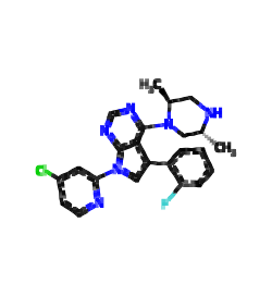 C[C@@H]1CN(c2ncnc3c2c(-c2ccccc2F)cn3-c2cc(Cl)ccn2)[C@@H](C)CN1